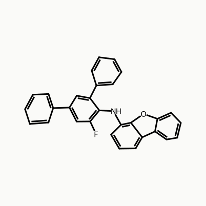 Fc1cc(-c2ccccc2)cc(-c2ccccc2)c1Nc1cccc2c1oc1ccccc12